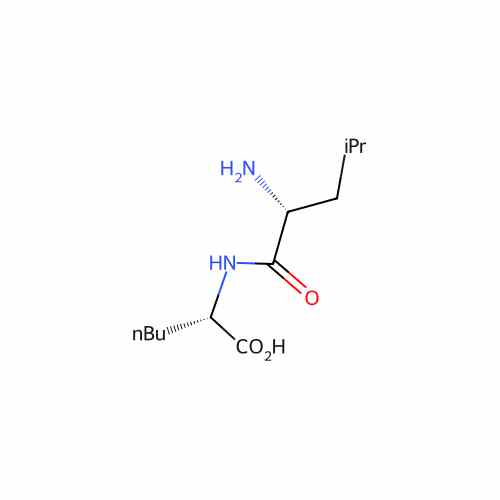 CCCC[C@H](NC(=O)[C@H](N)CC(C)C)C(=O)O